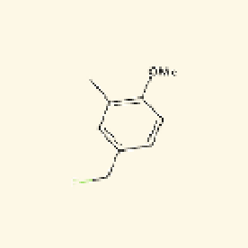 COc1ccc(CF)cc1C